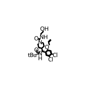 C=CCOc1cc(Cl)c(Cl)cc1[C@H](N[S@@+]([O-])C(C)(C)C)C1CCN(C(=O)NCCO)CC1